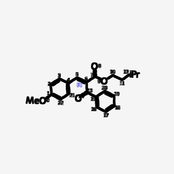 COc1ccc(/C=C(/C(=O)OCCC(C)C)C(=O)c2ccccc2)cc1